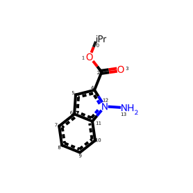 CC(C)OC(=O)c1cc2ccccc2n1N